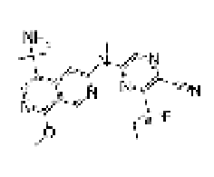 CC[C@@H](F)c1nc(Nc2cc3c(C(C)(C)N)cnc(OC)c3cn2)cnc1C#N